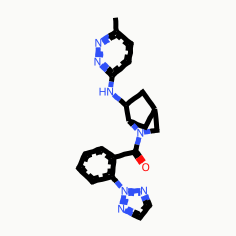 Cc1ccc(NC2CC3CC2N(C(=O)c2ccccc2-n2nccn2)C3)nn1